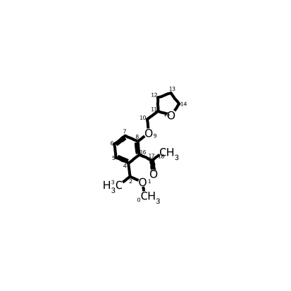 COC(C)c1cccc(OCC2CCCO2)c1C(C)=O